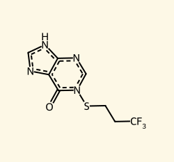 O=c1c2nc[nH]c2ncn1SCCC(F)(F)F